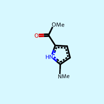 CNc1ccc(C(=O)OC)[nH]1